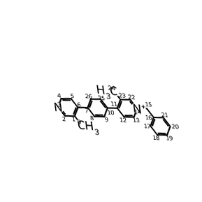 Cc1cnccc1-c1ccc(-c2cc[n+](Cc3ccccc3)cc2C)cc1